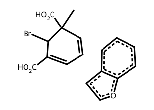 CC1(C(=O)O)C=CC=C(C(=O)O)C1Br.c1ccc2occc2c1